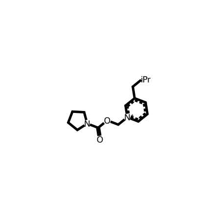 CC(C)Cc1ccc[n+](COC(=O)N2CCCC2)c1